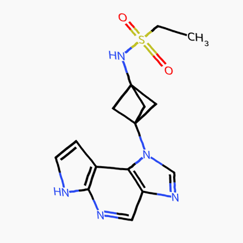 CCS(=O)(=O)NC12CC(n3cnc4cnc5[nH]ccc5c43)(C1)C2